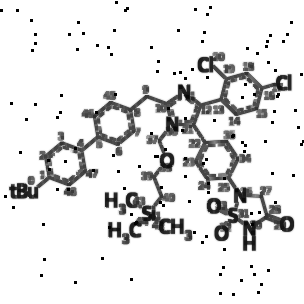 CC(C)(C)c1ccc(-c2ccc(Cc3nc(-c4ccc(Cl)cc4Cl)c(-c4ccc(N5CC(=O)NS5(=O)=O)cc4)n3COCC[Si](C)(C)C)cc2)cc1